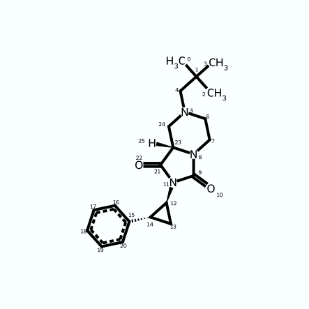 CC(C)(C)CN1CCN2C(=O)N([C@H]3C[C@@H]3c3ccccc3)C(=O)[C@@H]2C1